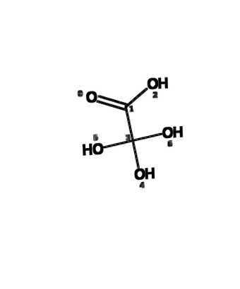 O=C(O)C(O)(O)O